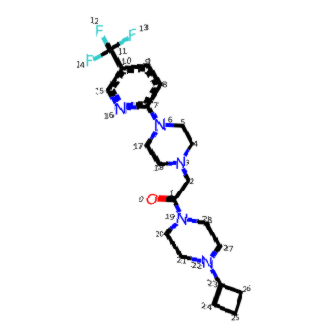 O=C(CN1CCN(c2ccc(C(F)(F)F)cn2)CC1)N1CCN(C2CCC2)CC1